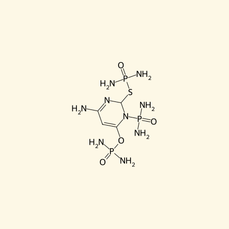 NC1=NC(SP(N)(N)=O)N(P(N)(N)=O)C(OP(N)(N)=O)=C1